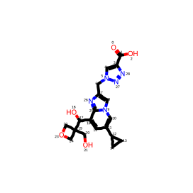 O=C(O)c1cn(Cc2cn3cc(C4CC4)cc(C(O)C4(CO)COC4)c3n2)nn1